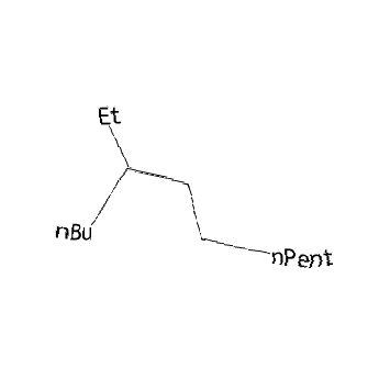 [CH2]CCCCCCC(CC)CCCC